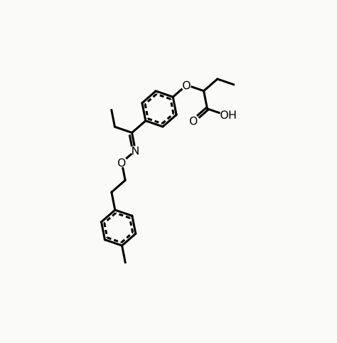 CC/C(=N\OCCc1ccc(C)cc1)c1ccc(OC(CC)C(=O)O)cc1